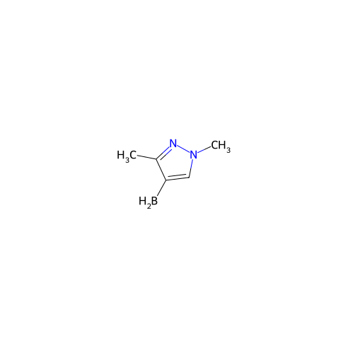 Bc1cn(C)nc1C